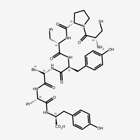 CC[C@H](C)[C@H](NC(=O)[C@H](Cc1ccc(O)cc1)NC(=O)[C@H](CC(C)C)NC(=O)[C@@H]1CCCN1C(=O)[C@@H](N)CS)C(=O)N[C@H](C(=O)N[C@@H](Cc1ccc(O)cc1)C(=O)O)C(C)C